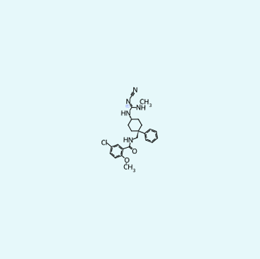 CN/C(=N\C#N)N[C@H]1CC[C@](CNC(=O)c2cc(Cl)ccc2OC)(c2ccccc2)CC1